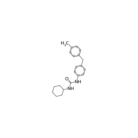 Cc1ccc(Cc2ccc(NC(=O)NC3CCCCC3)cc2)cc1